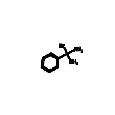 NC(N)(Br)c1ccccc1